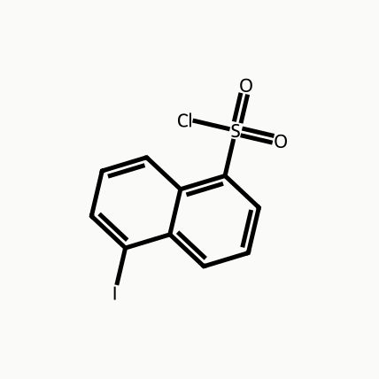 O=S(=O)(Cl)c1cccc2c(I)cccc12